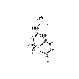 CC(C)C(C)NC1=NS(=O)(=O)c2cc(F)ccc2N1